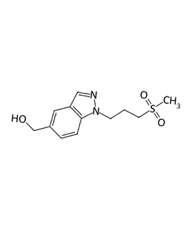 CS(=O)(=O)CCCn1ncc2cc(CO)ccc21